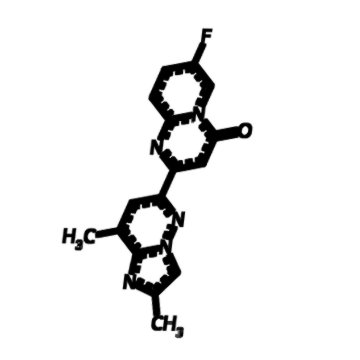 Cc1cn2nc(-c3cc(=O)n4cc(F)ccc4n3)cc(C)c2n1